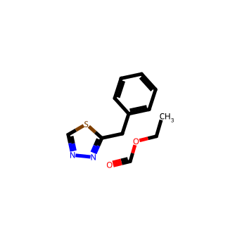 CCOC=O.c1ccc(Cc2nncs2)cc1